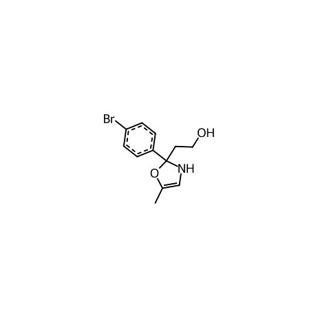 CC1=CNC(CCO)(c2ccc(Br)cc2)O1